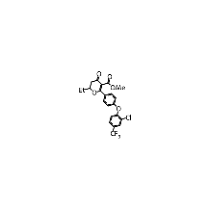 CCC1CC(=O)C(C(=O)OC)=C(c2ccc(Oc3ccc(C(F)(F)F)cc3Cl)cc2)O1